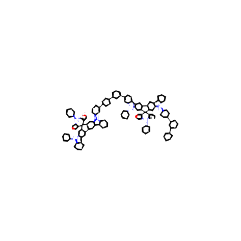 c1ccc(-c2cccc(-c3ccc(-n4c5ccccc5c5cc6c(cc54)C4(c5cc7c(cc5-6)c5ccc(-c6cccc(-c8ccc(-c9cccc(-n%10c%11ccccc%11c%11cc%12c(cc%11%10)C%10(c%11cc%13c(cc%11-%12)c%11ccccc%11n%13-c%11ccccc%11)c%11ccccc%11N(c%11ccccc%11)c%11ccccc%11%10)c9)cc8)c6)cc5n7-c5ccccc5)c5ccccc5N(c5ccccc5)c5ccccc54)cc3)c2)cc1